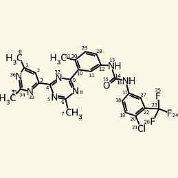 Cc1cc(-c2nc(C)nc(-c3cc(NC(=O)Nc4ccc(Cl)c(C(F)(F)F)c4)ccc3C)n2)nc(C)n1